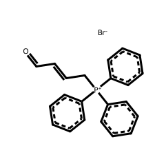 O=CC=CC[P+](c1ccccc1)(c1ccccc1)c1ccccc1.[Br-]